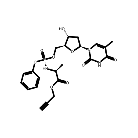 C#CCOC(=O)[C@H](C)N[P@](=O)(OC[C@@H]1O[C@H](n2cc(C)c(=O)[nH]c2=O)C[C@H]1O)Oc1ccccc1